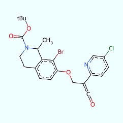 CC1c2c(ccc(OCC(=C=O)c3ccc(Cl)cn3)c2Br)CCN1C(=O)OC(C)(C)C